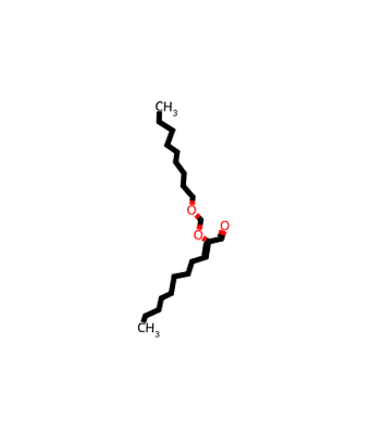 CCCCCCCCC=C(C=O)OCOCCCCCCCCC